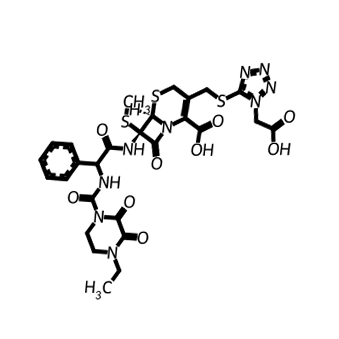 CCN1CCN(C(=O)NC(C(=O)N[C@]2(SC)C(=O)N3C(C(=O)O)=C(CSc4nnnn4CC(=O)O)CS[C@@H]32)c2ccccc2)C(=O)C1=O